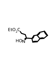 CCOC(=O)CCC(=NO)c1ccc2ccccc2c1